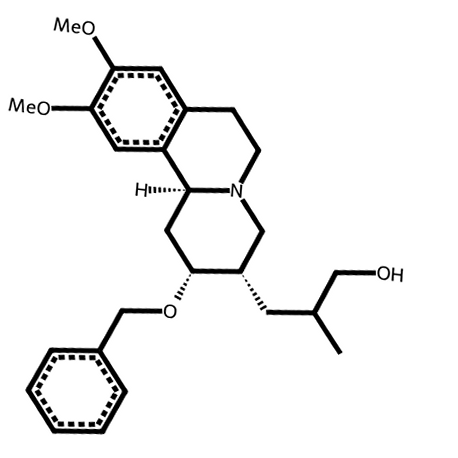 COc1cc2c(cc1OC)[C@@H]1C[C@@H](OCc3ccccc3)[C@@H](CC(C)CO)CN1CC2